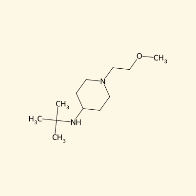 COCCN1CCC(NC(C)(C)C)CC1